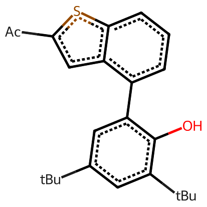 CC(=O)c1cc2c(-c3cc(C(C)(C)C)cc(C(C)(C)C)c3O)cccc2s1